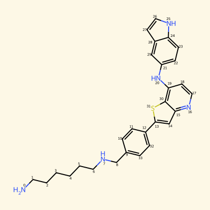 NCCCCCCNCc1ccc(-c2cc3nccc(Nc4ccc5[nH]ccc5c4)c3s2)cc1